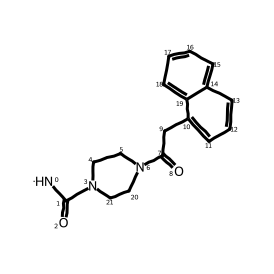 [NH]C(=O)N1CCN(C(=O)Cc2cccc3ccccc23)CC1